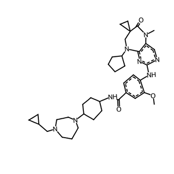 COc1cc(C(=O)NC2CCC(N3CCCN(CC4CC4)CC3)CC2)ccc1Nc1ncc2c(n1)N(C1CCCC1)CC1(CC1)C(=O)N2C